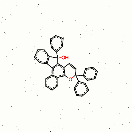 OC1(c2ccccc2)c2ccccc2-c2c1c1c(c3ccccc23)OC(c2ccccc2)(c2ccccc2)C=C1